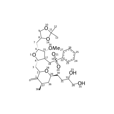 C=C1C(C[C@@H]2O[C@H](CC3COC(C)(C)O3)[C@H](OC)C2CS(=O)(=O)c2ccccc2)O[C@@H](CCC(O)CO)C[C@H]1C